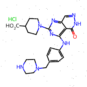 Cl.O=C(O)C1CCN(c2nc(Nc3ccc(CN4CCNCC4)cc3)c3c(=O)[nH]ncc3n2)CC1